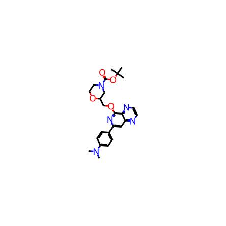 CN(C)c1ccc(-c2cc3nccnc3c(OCC3CN(C(=O)OC(C)(C)C)CCO3)n2)cc1